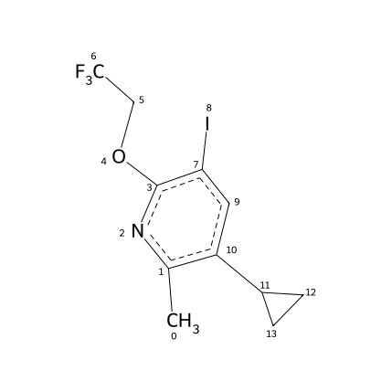 Cc1nc(OCC(F)(F)F)c(I)cc1C1CC1